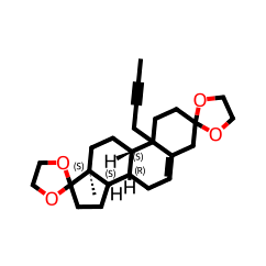 CC#CCC12CCC3(CC1=CC[C@@H]1[C@@H]2CC[C@@]2(C)[C@H]1CCC21OCCO1)OCCO3